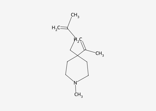 C=C(C)CCC1(C(=C)C)CCN(C)CC1